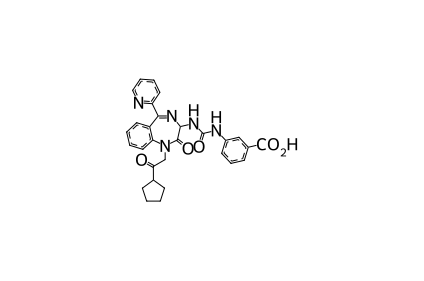 O=C(Nc1cccc(C(=O)O)c1)NC1N=C(c2ccccn2)c2ccccc2N(CC(=O)C2CCCC2)C1=O